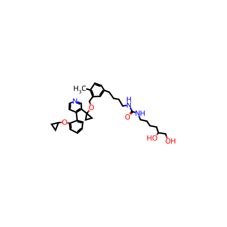 Cc1ccc(CCCCNC(=O)NCCCCC(O)CO)cc1COC1(c2cnccc2-c2ccccc2OC2CC2)CC1